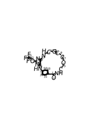 O=C1NCCCOCCCCOCCCNc2cc(nc(OCC(F)(F)F)n2)Nc2ccc1cc2